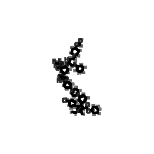 CCn1c(C)c(C(=O)OC2CCCCC2)c(-c2cccc(N3CCN(c4ccc(NS(=O)(=O)c5ccc(NC(CCN6CCC(OC=O)CC6)CSc6ccccc6)c(S(=O)(=O)C(F)(F)F)c5)cc4)CC3)c2)c1-c1ccc(Cl)cc1